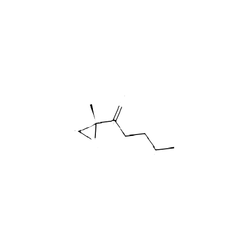 CCCCC(=O)[C@@]1(C)CO1